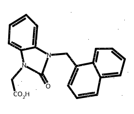 O=C(O)Cn1c(=O)n(Cc2cccc3ccccc23)c2ccccc21